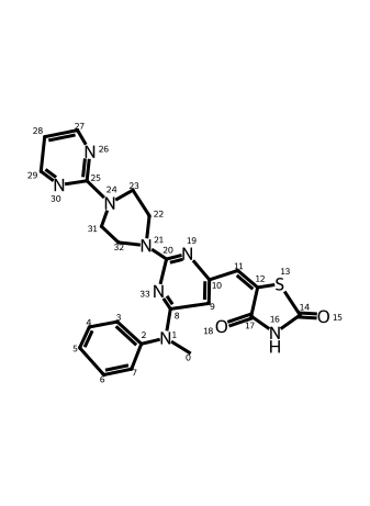 CN(c1ccccc1)c1cc(C=C2SC(=O)NC2=O)nc(N2CCN(c3ncccn3)CC2)n1